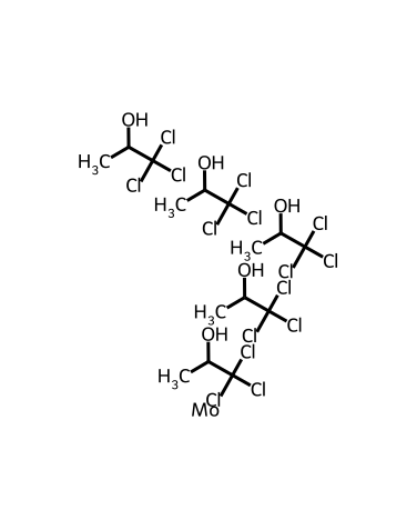 CC(O)C(Cl)(Cl)Cl.CC(O)C(Cl)(Cl)Cl.CC(O)C(Cl)(Cl)Cl.CC(O)C(Cl)(Cl)Cl.CC(O)C(Cl)(Cl)Cl.[Mo]